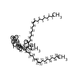 CCCCCCCC/C=C\CCCCCCCC(=O)NC(C)(CC)C(CCCCCC/C=C\CCCCCCCC)[N+]1=CNCC1.COS(=O)(=O)[O-]